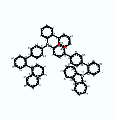 c1ccc(-c2ccccc2N(c2ccc(-c3ccc(-c4ccccc4-n4c5ccccc5c5ccccc54)cc3)cc2)c2ccc(-c3ccccc3-c3cccc4ccccc34)cc2)cc1